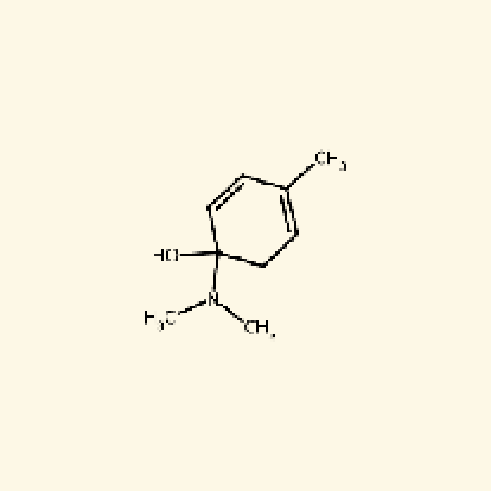 CC1=CCC(O)(N(C)C)C=C1